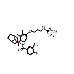 CS/C(=N\C#N)NCCCOc1ccc(C(C)N2C3CCC2CC(NC(=O)c2ccc(F)c(Cl)c2)C3)c(C)c1C